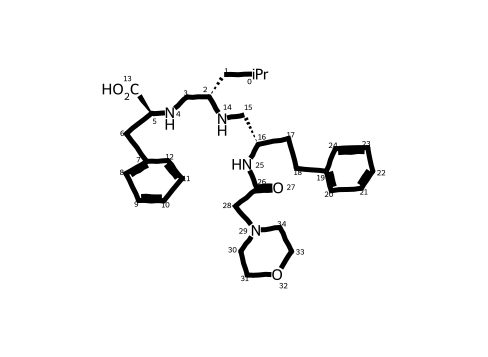 CC(C)C[C@@H](CN[C@@H](Cc1ccccc1)C(=O)O)NC[C@H](CCc1ccccc1)NC(=O)CN1CCOCC1